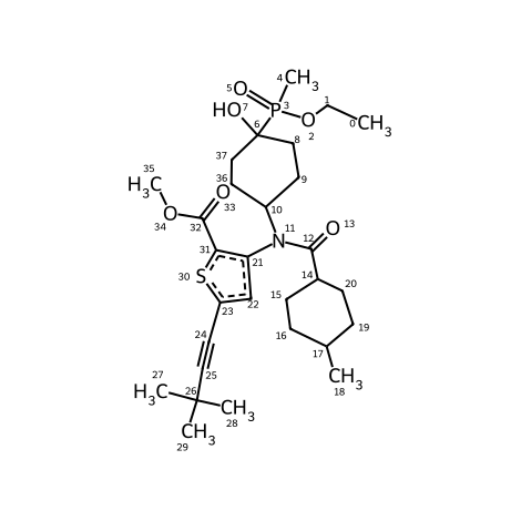 CCOP(C)(=O)C1(O)CCC(N(C(=O)C2CCC(C)CC2)c2cc(C#CC(C)(C)C)sc2C(=O)OC)CC1